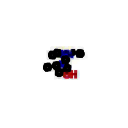 C=C(/C=C(\C=C/Nc1ccc2ccccc2c1)c1ccc2c(c1)c1ccc(O)c(-c3ccccc3)c1n2-c1ccc(-c2ccccc2)cc1)c1ccccc1